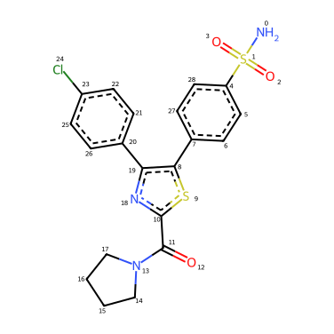 NS(=O)(=O)c1ccc(-c2sc(C(=O)N3CCCC3)nc2-c2ccc(Cl)cc2)cc1